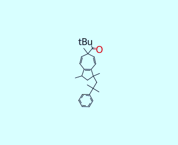 CC1CC(C)(CC(C)(C)c2ccccc2)C2=C1C=CC(C)(C(=O)C(C)(C)C)C=C2